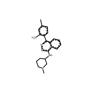 Cc1ccc(-c2nnc(NC3CCCN(C)C3)c3ccccc23)c(N)c1